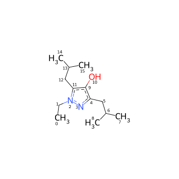 CCn1nc(CC(C)C)c(O)c1CC(C)C